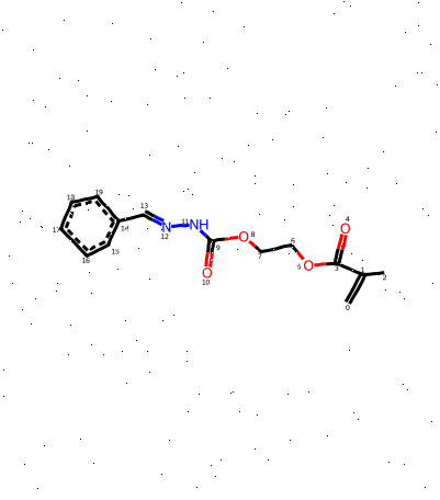 C=C(C)C(=O)OCCOC(=O)NN=Cc1ccccc1